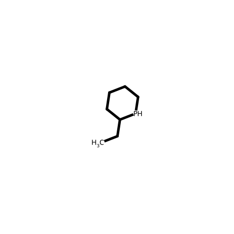 CCC1CCCCP1